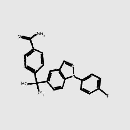 NC(=O)c1ccc(C(O)(c2ccc3c(cnn3-c3ccc(F)cc3)c2)C(F)(F)F)cc1